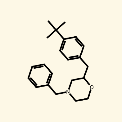 CC(C)(C)c1ccc(CC2CN(Cc3ccccc3)CCO2)cc1